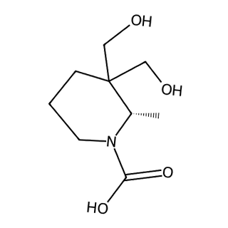 C[C@@H]1N(C(=O)O)CCCC1(CO)CO